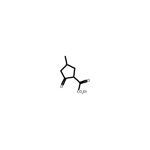 CCOC(=O)C(=O)C1CC(C)CC1=O